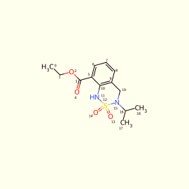 CCOC(=O)c1cccc2c1NS(=O)(=O)N(C(C)C)C2